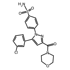 NS(=O)(=O)c1ccc(-n2nc(C(=O)N3CCOCC3)cc2-c2cccc(Cl)c2)cc1